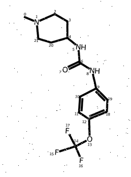 CN1CCC(NC(=O)Nc2ccc(OC(F)(F)F)cc2)CC1